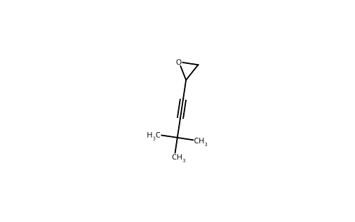 CC(C)(C)C#CC1CO1